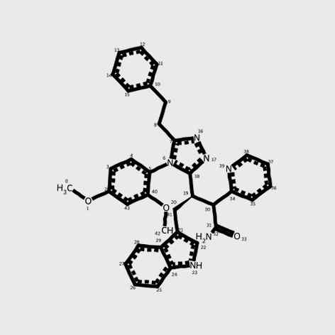 COc1ccc(-n2c(CCc3ccccc3)nnc2[C@H](Cc2c[nH]c3ccccc23)C(C(N)=O)c2ccccn2)c(OC)c1